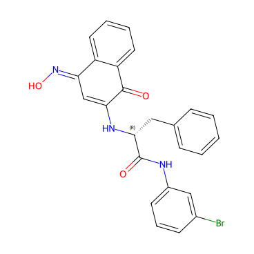 O=C1C(N[C@H](Cc2ccccc2)C(=O)Nc2cccc(Br)c2)=CC(=NO)c2ccccc21